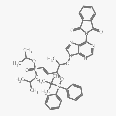 CC(C)OP(=O)(C=CC(O[Si](c1ccccc1)(c1ccccc1)C(C)(C)C)C(C)On1cnc2c(N3C(=O)c4ccccc4C3=O)ncnc21)OC(C)C